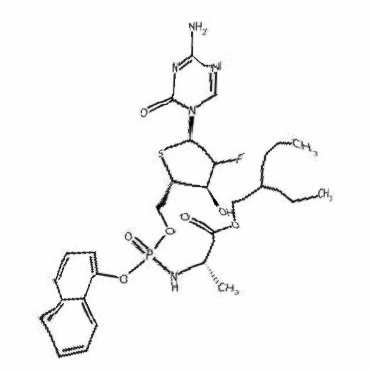 CCC(CC)COC(=O)[C@H](C)NP(=O)(OC[C@H]1S[C@@H](n2cnc(N)nc2=O)C(F)[C@H]1O)Oc1cccc2ccccc12